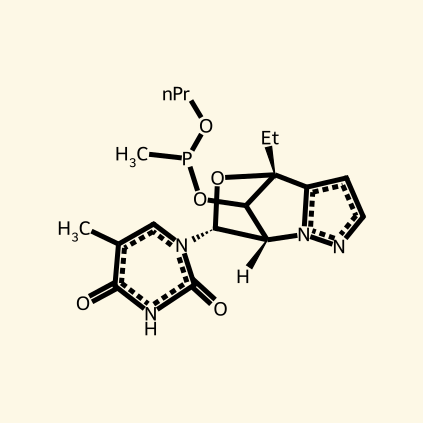 CCCOP(C)OC1[C@H]2[C@H](n3cc(C)c(=O)[nH]c3=O)O[C@]1(CC)c1ccnn12